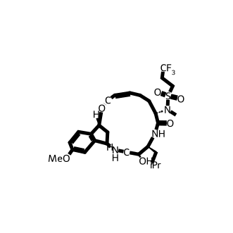 COc1ccc2c(c1)[C@@H]1C[C@H]2OCC=CCC[C@H](N(C)S(=O)(=O)CCC(F)(F)F)C(=O)N[C@@H](CC(C)C)[C@H](O)CN1